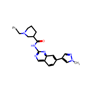 CC(C)CN1CCCC(C(=O)Nc2ncc3ccc(-c4cnn(C)c4)cc3n2)C1